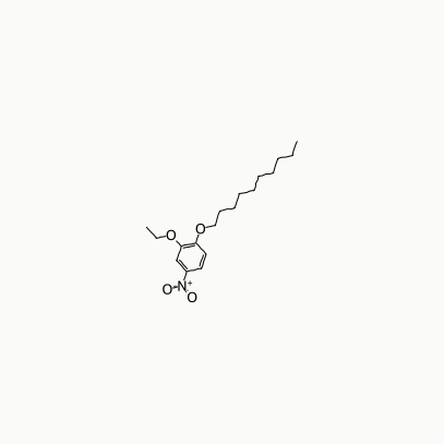 CCCCCCCCCCOc1ccc([N+](=O)[O-])cc1OCC